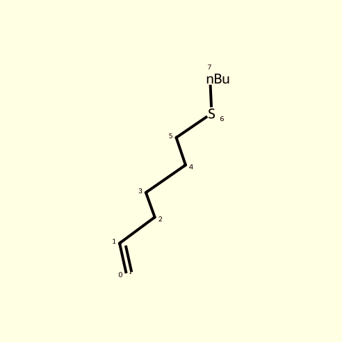 [CH]=CCCCCSCCCC